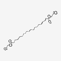 O=C(/C=C/C=C/CCCCCCCCCCCCCCC(=O)OCC1CO1)OCC1CO1